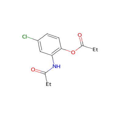 CCC(=O)Nc1cc(Cl)ccc1OC(=O)CC